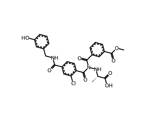 COC(=O)c1cccc(C(=O)N(N[C@@H](C)C(=O)O)C(=O)c2ccc(C(=O)NCc3cccc(O)c3)cc2Cl)c1